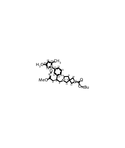 COC(=C=O)C[C@H](CN1CCC2(C1)CN(C(=O)OC(C)(C)C)C2)c1cccc(-n2nc(C)cc2C)c1